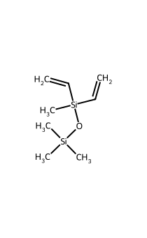 C=C[Si](C)(C=C)O[Si](C)(C)C